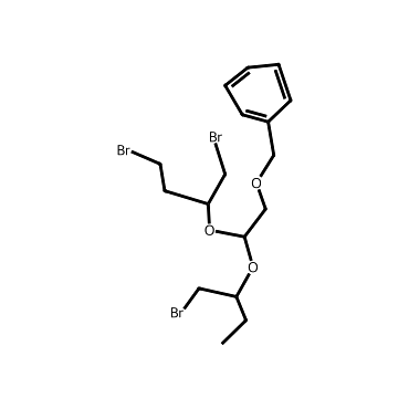 CCC(CBr)OC(COCc1ccccc1)OC(CBr)CCBr